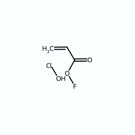 C=CC(=O)OF.OCl